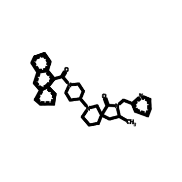 CC1CC2(CCCN(C3CCN(C(=O)c4c5ccccc5cc5ccccc45)CC3)C2)C(=O)N1Cc1ccccn1